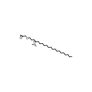 CCCCCCCCCCCCCCCCCC(CCCOCC1CO1)[SiH](C)C